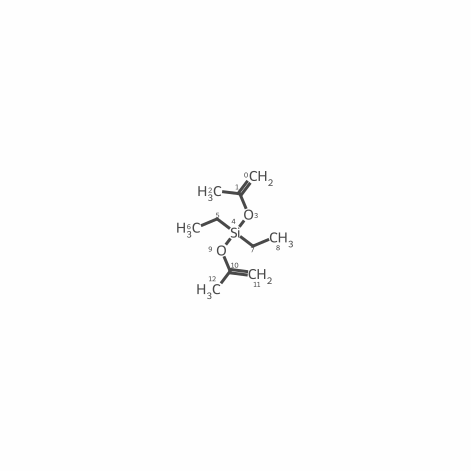 C=C(C)O[Si](CC)(CC)OC(=C)C